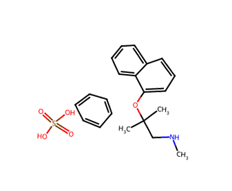 CNCC(C)(C)Oc1cccc2ccccc12.O=S(=O)(O)O.c1ccccc1